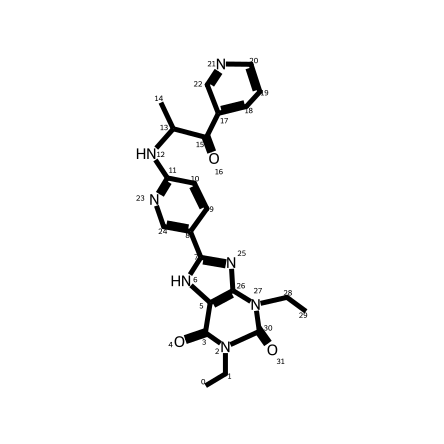 CCn1c(=O)c2[nH]c(-c3ccc(NC(C)C(=O)c4cccnc4)nc3)nc2n(CC)c1=O